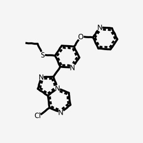 CCSc1cc(Oc2ccccn2)cnc1-c1ncc2c(Cl)nccn12